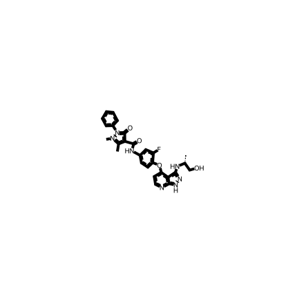 Cc1c(C(=O)Nc2ccc(Oc3ccnc4[nH]nc(N[C@H](C)CO)c34)c(F)c2)c(=O)n(-c2ccccc2)n1C